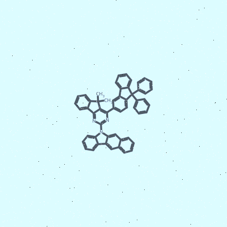 CC1(C)c2ccccc2-c2nc(-n3c4ccccc4c4cc5ccccc5cc43)nc(-c3ccc4c(c3)-c3ccccc3C4(c3ccccc3)c3ccccc3)c21